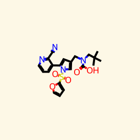 CC(C)(C)CN(Cc1cc(-c2cccnc2C#N)n(S(=O)(=O)c2ccco2)c1)C(=O)O